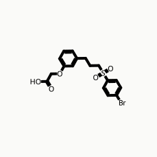 O=C(O)COc1cccc(CCCS(=O)(=O)c2ccc(Br)cc2)c1